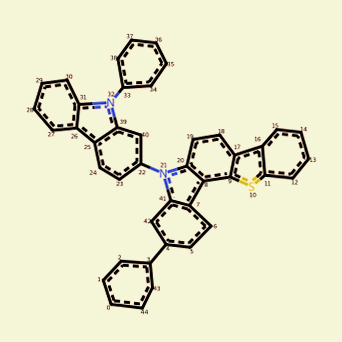 c1ccc(-c2ccc3c4c5sc6ccccc6c5ccc4n(-c4ccc5c6ccccc6n(-c6ccccc6)c5c4)c3c2)cc1